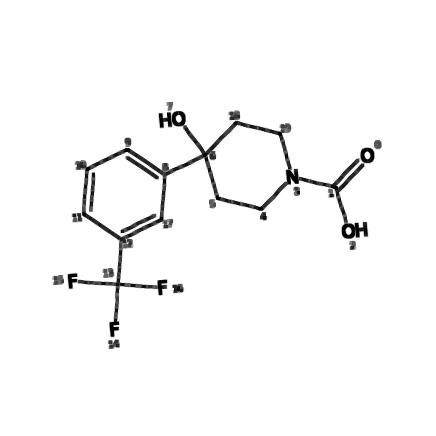 O=C(O)N1CCC(O)(c2cccc(C(F)(F)F)c2)CC1